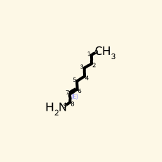 CCCCCC/C=C/CN